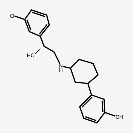 Oc1cccc(C2CCCC(NC[C@H](O)c3cccc(Cl)c3)C2)c1